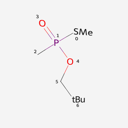 CSP(C)(=O)OCC(C)(C)C